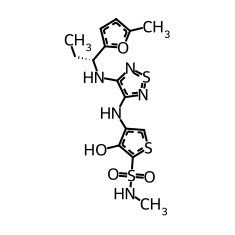 CC[C@@H](Nc1nsnc1Nc1csc(S(=O)(=O)NC)c1O)c1ccc(C)o1